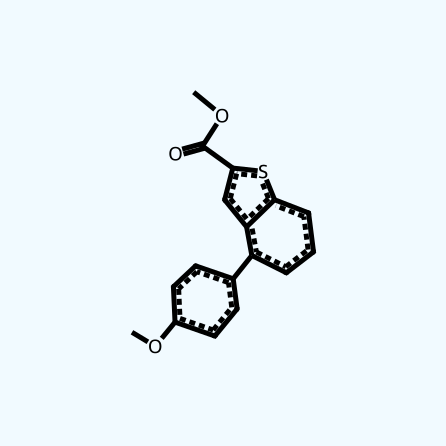 COC(=O)c1cc2c(-c3ccc(OC)cc3)cccc2s1